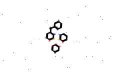 COc1ccc2c(c1)C(C)(C)c1cc(OC)c3c4c1N2c1ccc(OC)c2c1P4(=S)c1c(cc(C=O)cc1O3)O2